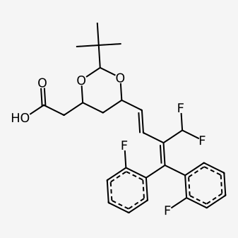 CC(C)(C)C1OC(C=CC(=C(c2ccccc2F)c2ccccc2F)C(F)F)CC(CC(=O)O)O1